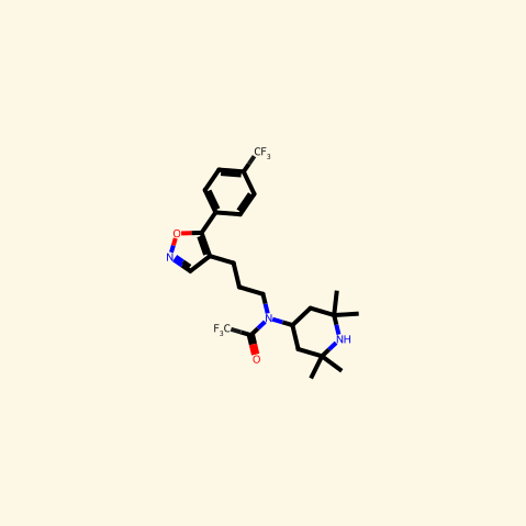 CC1(C)CC(N(CCCc2cnoc2-c2ccc(C(F)(F)F)cc2)C(=O)C(F)(F)F)CC(C)(C)N1